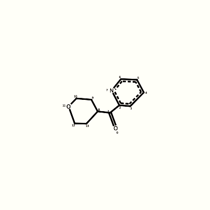 O=C(c1ccccn1)C1CCOCC1